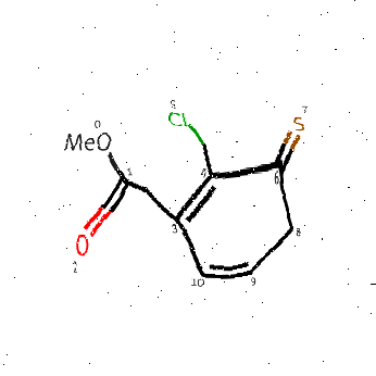 COC(=O)C1=C(Cl)C(=S)CC=C1